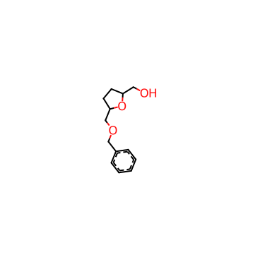 OCC1CCC(COCc2ccccc2)O1